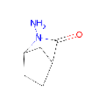 NN1C(=O)C2CCC1C2